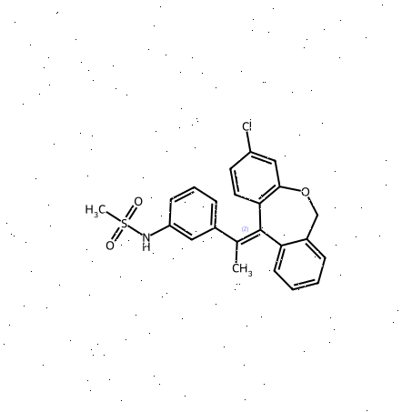 C/C(=C1\c2ccccc2COc2cc(Cl)ccc21)c1cccc(NS(C)(=O)=O)c1